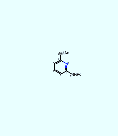 CC(=O)Nc1cccc(NC(C)=O)n1